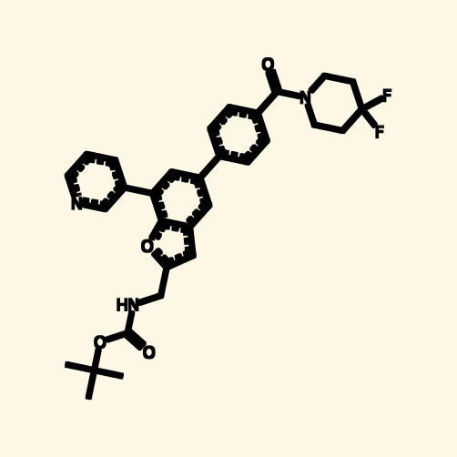 CC(C)(C)OC(=O)NCc1cc2cc(-c3ccc(C(=O)N4CCC(F)(F)CC4)cc3)cc(-c3cccnc3)c2o1